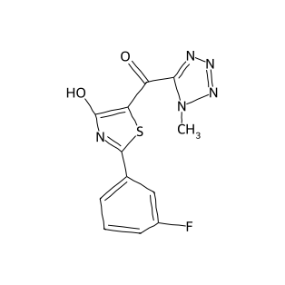 Cn1nnnc1C(=O)c1sc(-c2cccc(F)c2)nc1O